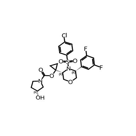 O=C(OC1([C@H]2COC[C@@H](c3cc(F)cc(F)c3)N2S(=O)(=O)c2ccc(Cl)cc2)CC1)N1CC[C@@H](O)C1